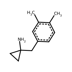 Cc1ccc(CC2(N)CC2)cc1C